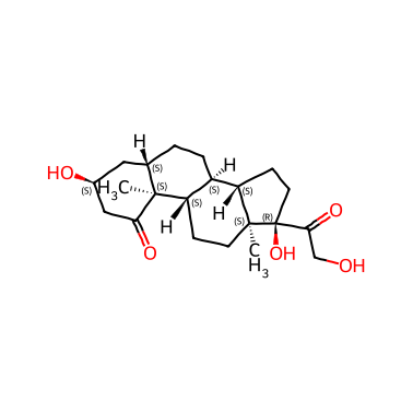 C[C@]12C(=O)C[C@@H](O)C[C@@H]1CC[C@@H]1[C@@H]2CC[C@@]2(C)[C@H]1CC[C@]2(O)C(=O)CO